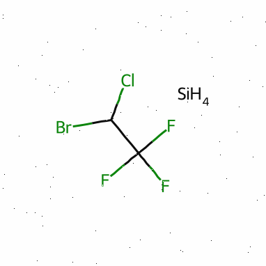 FC(F)(F)C(Cl)Br.[SiH4]